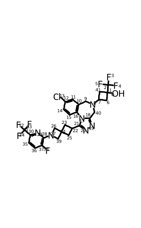 OC1(C(F)(F)F)CC(N2Cc3cc(Cl)ccc3-n3c(nnc3C3CC4(C3)CN(c3nc(C(F)(F)F)ccc3F)C4)C2)C1